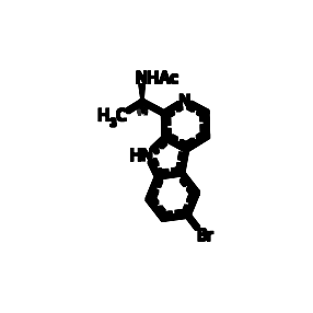 CC(=O)N[C@H](C)c1nccc2c1[nH]c1ccc(Br)cc12